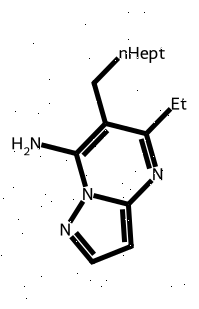 CCCCCCCCc1c(CC)nc2ccnn2c1N